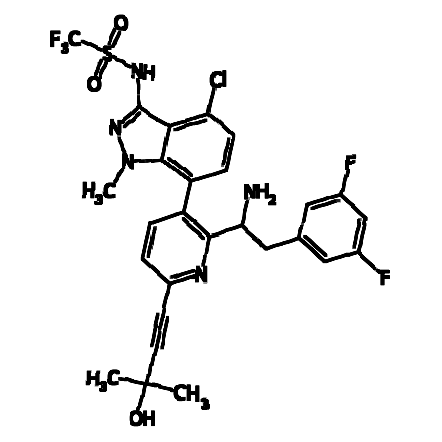 Cn1nc(NS(=O)(=O)C(F)(F)F)c2c(Cl)ccc(-c3ccc(C#CC(C)(C)O)nc3C(N)Cc3cc(F)cc(F)c3)c21